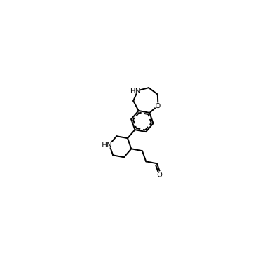 O=CCCC1CCNCC1c1ccc2c(c1)CNCCO2